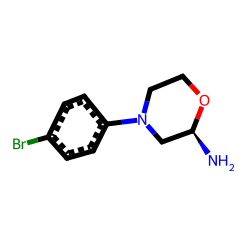 N[C@H]1CN(c2ccc(Br)cc2)CCO1